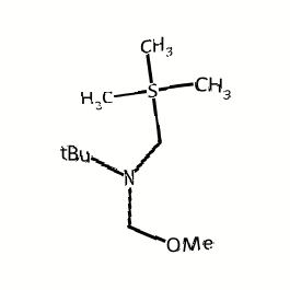 COCN(CS(C)(C)C)C(C)(C)C